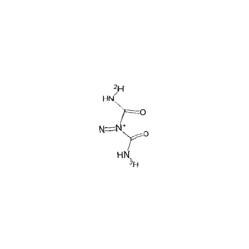 [2H]NC(=O)[N+](=[N-])C(=O)N[2H]